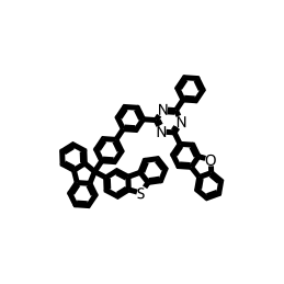 c1ccc(-c2nc(-c3cccc(-c4ccc(C5(c6ccc7sc8ccccc8c7c6)c6ccccc6-c6ccccc65)cc4)c3)nc(-c3ccc4c(c3)oc3ccccc34)n2)cc1